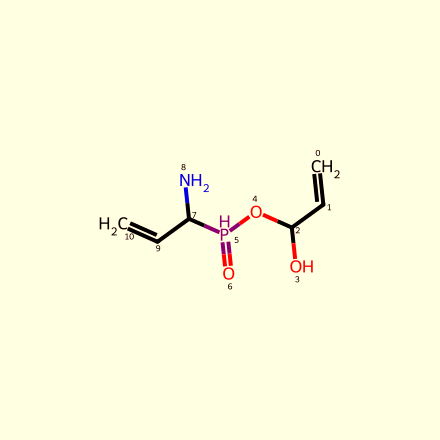 C=CC(O)O[PH](=O)C(N)C=C